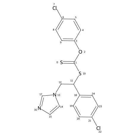 S=C(Oc1ccc(Cl)cc1)SC(Cn1ccnc1)c1ccc(Cl)cc1